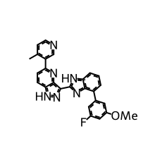 COc1cc(F)cc(-c2cccc3[nH]c(-c4n[nH]c5ccc(-c6cnccc6C)nc45)nc23)c1